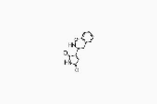 O=C1C=C(C2=Cc3ccccc3ON2)C(=O)N1